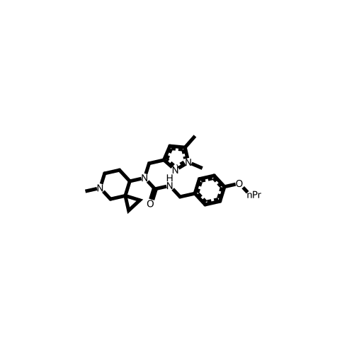 CCCOc1ccc(CNC(=O)N(Cc2cc(C)n(C)n2)C2CCN(C)CC23CC3)cc1